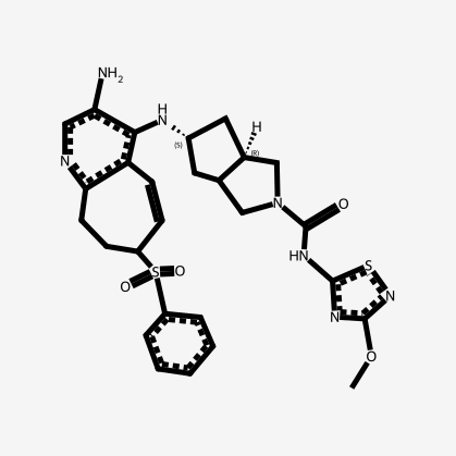 COc1nsc(NC(=O)N2CC3C[C@H](Nc4c(N)cnc5c4C=CC(S(=O)(=O)c4ccccc4)CC5)C[C@H]3C2)n1